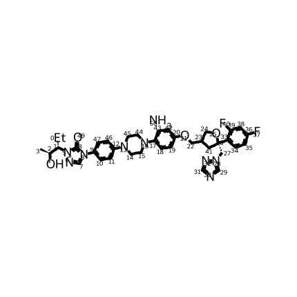 CC[C@@H]([C@H](C)O)n1ncn(-c2ccc(N3CCN(c4ccc(OCC5CO[C@@](Cn6cncn6)(c6ccc(F)cc6F)C5)cc4)CC3)cc2)c1=O.N